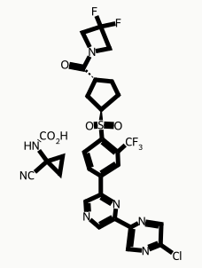 N#CC1(NC(=O)O)CC1.O=C([C@@H]1CC[C@@H](S(=O)(=O)c2ccc(-c3cncc(-c4cnc(Cl)cn4)n3)cc2C(F)(F)F)C1)N1CC(F)(F)C1